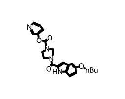 CCCCOc1ccc2[nH]c(C(=O)N3CCN(C(=O)Oc4cccnc4)CC3)cc2c1